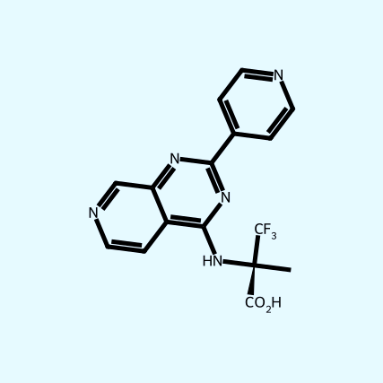 C[C@@](Nc1nc(-c2ccncc2)nc2cnccc12)(C(=O)O)C(F)(F)F